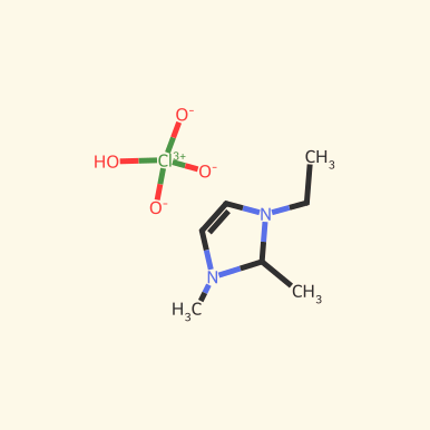 CCN1C=CN(C)C1C.[O-][Cl+3]([O-])([O-])O